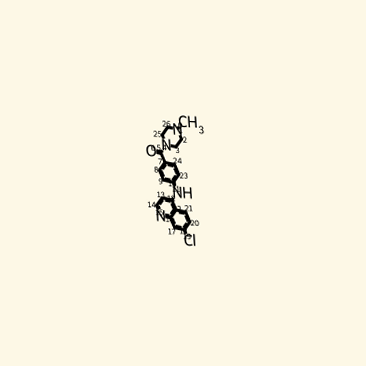 CN1CCN(C(=O)c2ccc(Nc3ccnc4cc(Cl)ccc34)cc2)CC1